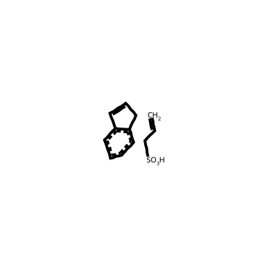 C1=Cc2ccccc2C1.C=CCS(=O)(=O)O